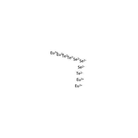 [Eu+3].[Eu+3].[Eu+3].[Eu+3].[Se-2].[Se-2].[Se-2].[Te-2].[Te-2].[Te-2]